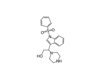 O=S(=O)(c1ccccc1)n1cc(C(CO)N2CCNCC2)c2ccccc21